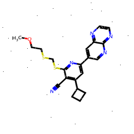 COCCSCSc1nc(-c2cnc3nccnc3c2)cc(C2CCC2)c1C#N